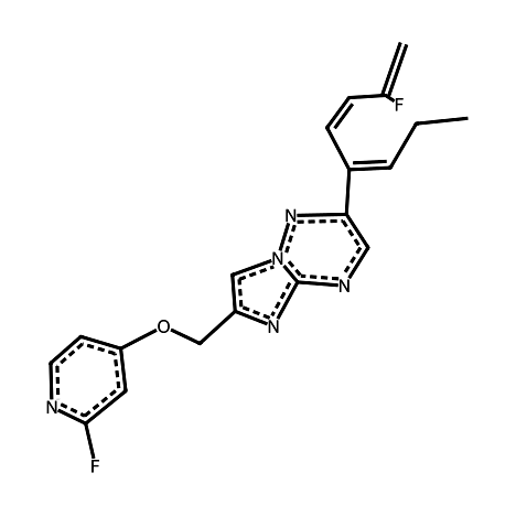 C=C(F)/C=C\C(=C/CC)c1cnc2nc(COc3ccnc(F)c3)cn2n1